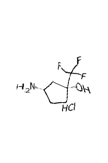 Cl.N[C@H]1CC[C@](O)(C(F)(F)F)C1